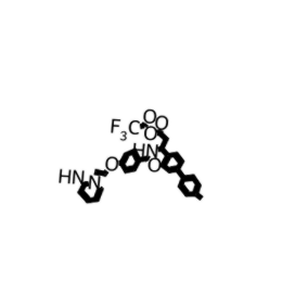 Cc1ccc(-c2ccc(C(CC(=O)OC(=O)C(F)(F)F)NC(=O)c3ccc(OCCn4ccccc4=N)cc3)cc2)cc1